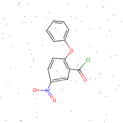 O=C(Cl)c1cc([N+](=O)[O-])ccc1Oc1ccccc1